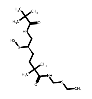 CCSCNC(=O)C(C)(C)CC[C@H](CNC(=O)C(C)(C)C)SS